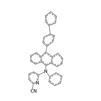 N#Cc1cccc(N(c2ccccc2)c2c3ccccc3c(-c3ccc(-c4ccccc4)cc3)c3ccccc23)n1